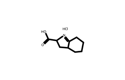 Cl.O=C(O)C1CC2CCCCC2=N1